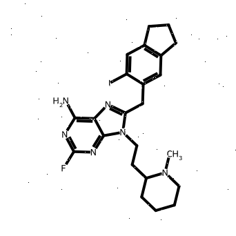 CN1CCCCC1CCn1c(Cc2cc3c(cc2I)CCC3)nc2c(N)nc(F)nc21